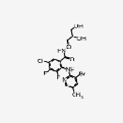 Cc1cnc(Nc2c(C(=O)NOCC(O)CO)cc(Cl)c(F)c2F)c(Br)c1